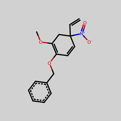 C=CC1([N+](=O)[O-])C=CC(OCc2ccccc2)=C(OC)C1